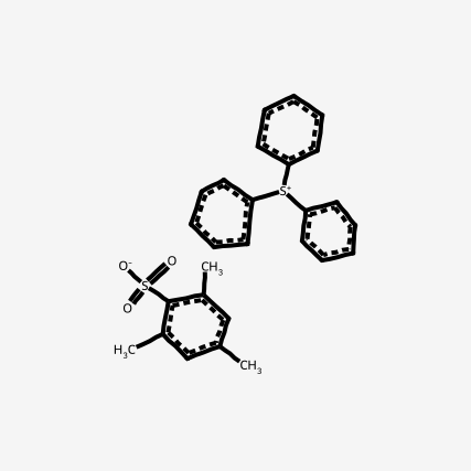 Cc1cc(C)c(S(=O)(=O)[O-])c(C)c1.c1ccc([S+](c2ccccc2)c2ccccc2)cc1